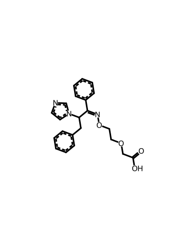 O=C(O)COCCON=C(c1ccccc1)C(Cc1ccccc1)n1ccnc1